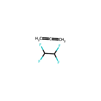 C=C=C.FC(F)C(F)F